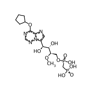 CO[C@H](COP(=O)(O)CP(=O)(O)O)[C@@H](O)[C@@H](O)c1cnc2c(OC3CCCC3)ncnn12